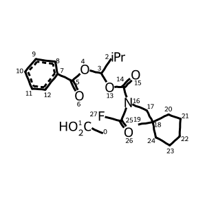 CC(=O)O.CC(C)C(OC(=O)c1ccccc1)OC(=O)N(CC1(C)CCCCC1)C(=O)F